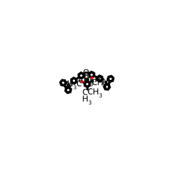 CC(C)c1cc(C(C)C)c(B2c3cc(-c4ccc(-n5c6ccccc6c6ccccc65)cc4)ccc3Oc3ccc(-c4ccc(-n5c6ccccc6c6ccccc65)cc4)cc32)c(C(C)C)c1